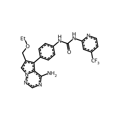 CCOCc1cn2ncnc(N)c2c1-c1ccc(NC(=O)Nc2cc(C(F)(F)F)ccn2)cc1